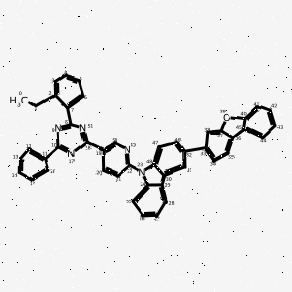 CCc1ccccc1-c1nc(-c2ccccc2)nc(-c2ccc(-n3c4ccccc4c4cc(-c5ccc6c(c5)oc5ccccc56)ccc43)nc2)n1